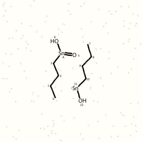 CCC[CH2][Sn](=[O])[OH].CCC[CH2][Sn][OH]